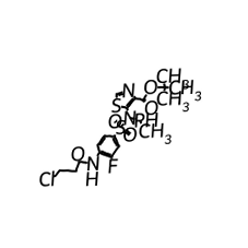 CPN(c1scnc1C(=O)OC(C)(C)C)S(=O)(=O)c1ccc(NC(=O)CCCl)c(F)c1